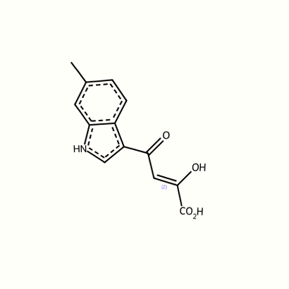 Cc1ccc2c(C(=O)/C=C(\O)C(=O)O)c[nH]c2c1